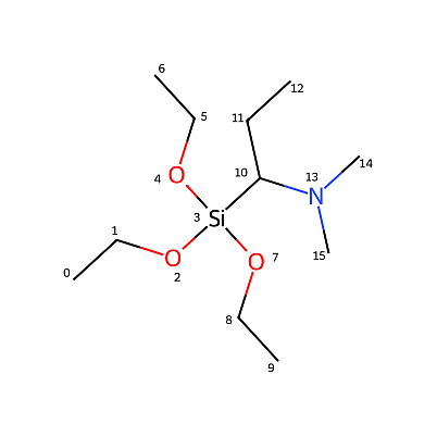 CCO[Si](OCC)(OCC)C(CC)N(C)C